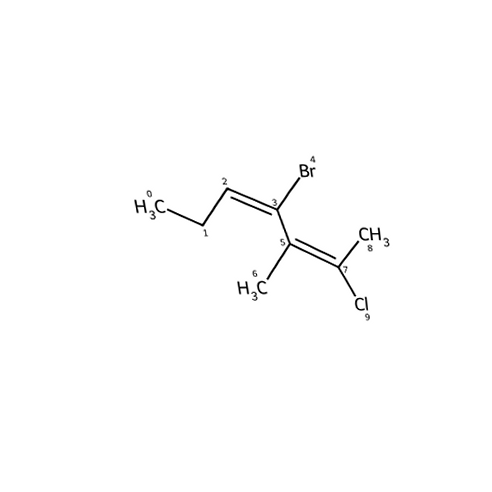 CC/C=C(Br)\C(C)=C(/C)Cl